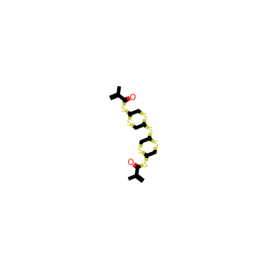 C=C(C)C(=O)SC1CSC(SC2CSC(SC(=O)C(=C)C)CS2)CS1